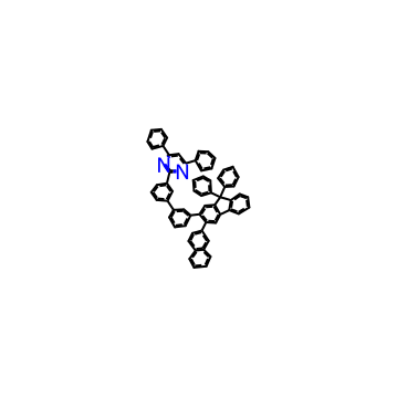 c1ccc(-c2cc(-c3ccccc3)nc(-c3cccc(-c4cccc(-c5cc6c(cc5-c5ccc7ccccc7c5)-c5ccccc5C6(c5ccccc5)c5ccccc5)c4)c3)n2)cc1